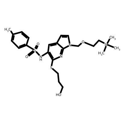 Cc1ccc(S(=O)(=O)Nc2cc3ccn(COCC[Si](C)(C)C)c3nc2SCCCO)cc1